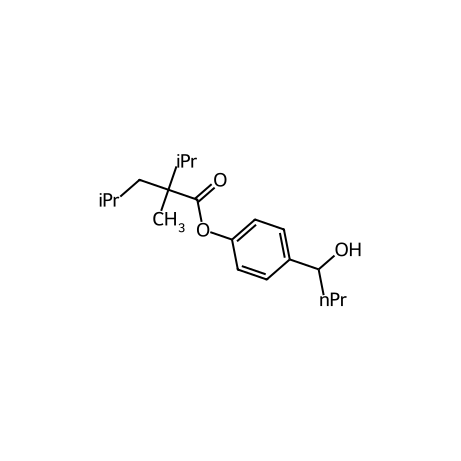 CCCC(O)c1ccc(OC(=O)C(C)(CC(C)C)C(C)C)cc1